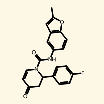 Cc1cc2cc(NC(=O)N3C=CC(=O)CC3c3ccc(F)cc3)ccc2o1